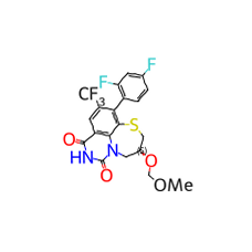 COCO[C@@H]1CSc2c(-c3ccc(F)cc3F)c(C(F)(F)F)cc3c(=O)[nH]c(=O)n(c23)C1